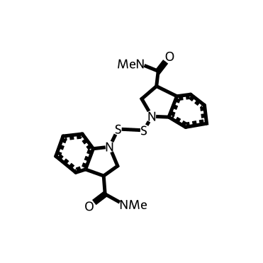 CNC(=O)C1CN(SSN2CC(C(=O)NC)c3ccccc32)c2ccccc21